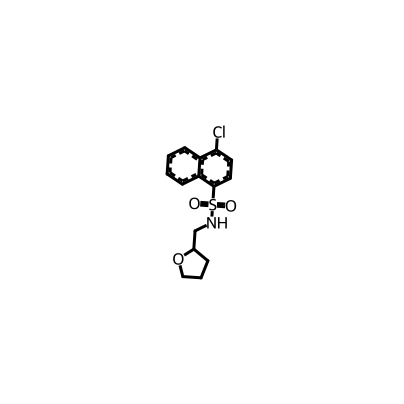 O=S(=O)(NCC1CCCO1)c1ccc(Cl)c2ccccc12